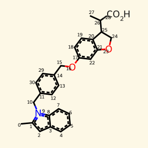 Cc1cc2ccccc2n1Cc1ccc(COc2ccc3c(c2)OCC3C(C)C(=O)O)cc1